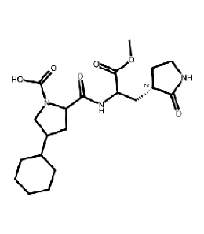 COC(=O)C(C[C@@H]1CCNC1=O)NC(=O)C1CC(C2CCCCC2)CN1C(=O)O